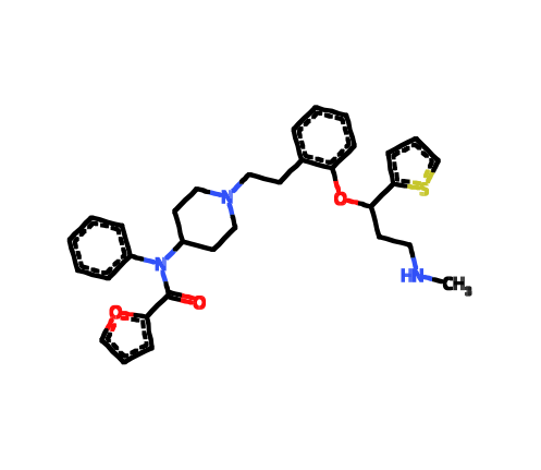 CNCCC(Oc1ccccc1CCN1CCC(N(C(=O)c2ccco2)c2ccccc2)CC1)c1cccs1